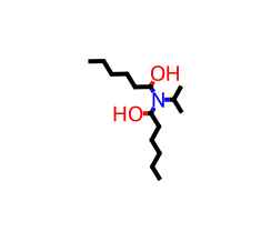 CCCCCC(O)N(C(C)C)C(O)CCCCC